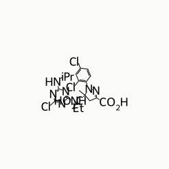 CC1(C(=O)O)CC(C(=O)O)=NN1c1ccc(Cl)cc1Cl.CCNc1nc(Cl)nc(NC(C)C)n1